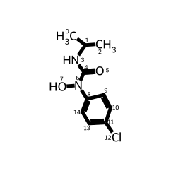 CC(C)NC(=O)N(O)c1ccc(Cl)cc1